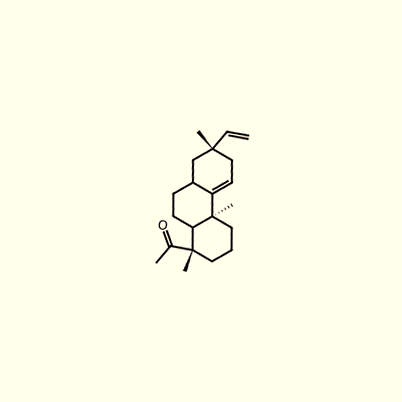 C=C[C@]1(C)CC=C2C(CCC3[C@@](C)(C(C)=O)CCC[C@]23C)C1